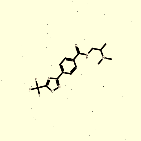 CC(CNC(=O)c1ccc(-c2noc(C(F)(F)F)n2)cc1)N(C)C